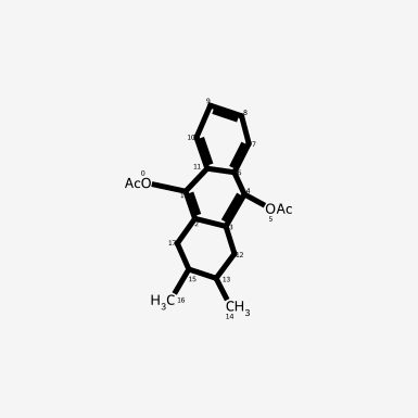 CC(=O)Oc1c2c(c(OC(C)=O)c3ccccc13)CC(C)C(C)C2